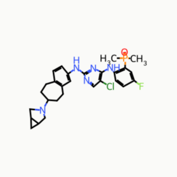 CP(C)(=O)c1cc(F)ccc1Nc1nc(Nc2ccc3c(c2)CCC(N2CC4CC4C2)CC3)ncc1Cl